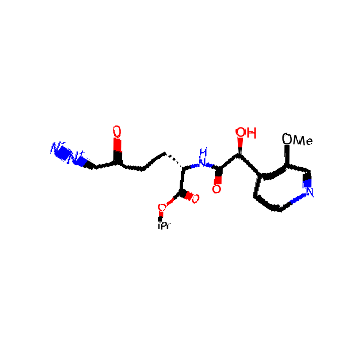 COc1cnccc1[C@H](O)C(=O)N[C@@H](CCC(=O)C=[N+]=[N-])C(=O)OC(C)C